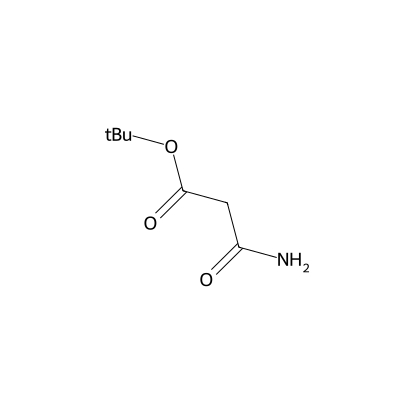 CC(C)(C)OC(=O)CC(N)=O